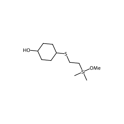 CO[Si](C)(C)CCSC1CCC(O)CC1